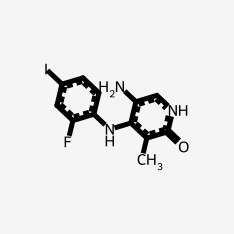 Cc1c(Nc2ccc(I)cc2F)c(N)c[nH]c1=O